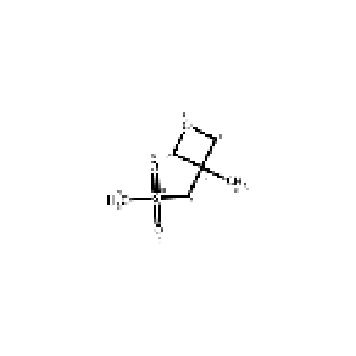 CC1(CS(C)(=O)=O)COC1